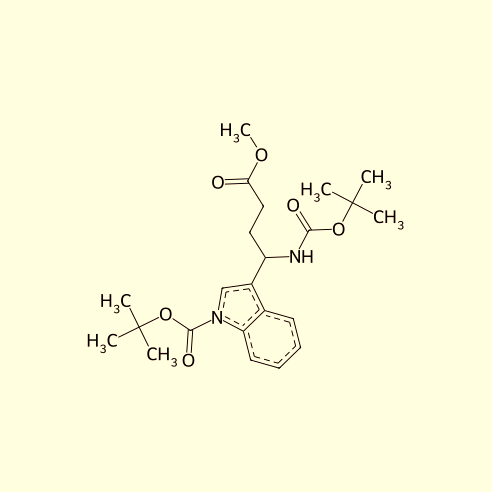 COC(=O)CCC(NC(=O)OC(C)(C)C)c1cn(C(=O)OC(C)(C)C)c2ccccc12